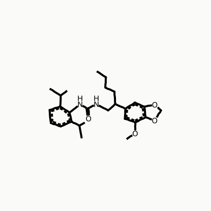 CCCCC(CNC(=O)Nc1c(C(C)C)cccc1C(C)C)c1cc(OC)c2c(c1)OCO2